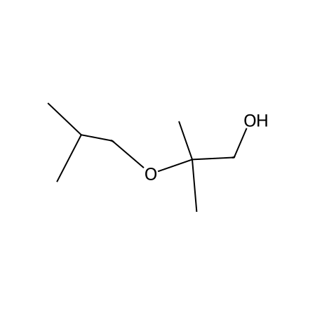 CC(C)COC(C)(C)CO